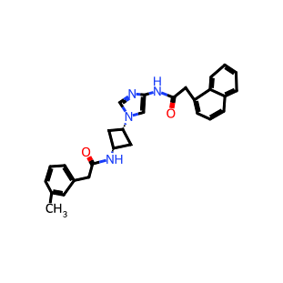 Cc1cccc(CC(=O)N[C@H]2C[C@@H](n3cnc(NC(=O)Cc4cccc5ccccc45)c3)C2)c1